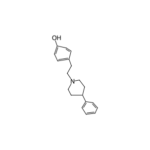 Oc1ccc(CCN2CCC(c3ccccc3)CC2)cc1